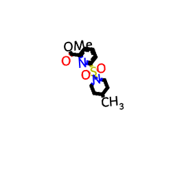 COC(=O)c1cccc(S(=O)(=O)N2CCC(C)CC2)n1